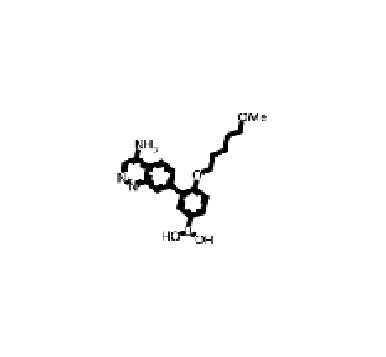 COCCCCCOc1ccc(B(O)O)cc1-c1ccc2c(N)cnnc2c1